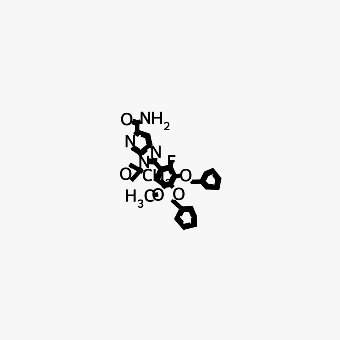 COc1cc(-c2nc3cc(C(N)=O)ncc3n2C2(C)COC2)c(F)c(OCc2ccccc2)c1OCc1ccccc1